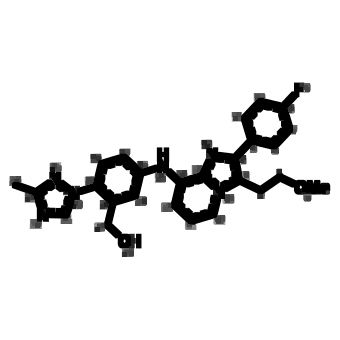 COCCc1c(-c2ccc(F)cc2)nc2c(Nc3ccc(-n4cnc(C)n4)c(CO)c3)cccn12